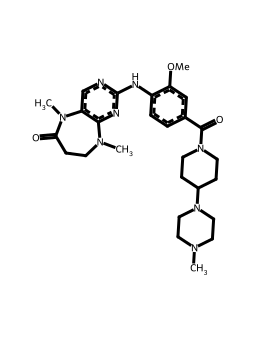 COc1cc(C(=O)N2CCC(N3CCN(C)CC3)CC2)ccc1Nc1ncc2c(n1)N(C)CCC(=O)N2C